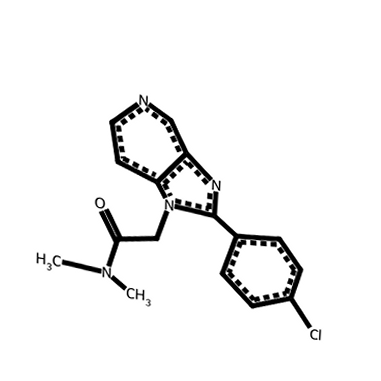 CN(C)C(=O)Cn1c(-c2ccc(Cl)cc2)nc2cnccc21